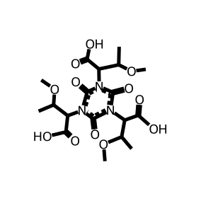 COC(C)C(C(=O)O)n1c(=O)n(C(C(=O)O)C(C)OC)c(=O)n(C(C(=O)O)C(C)OC)c1=O